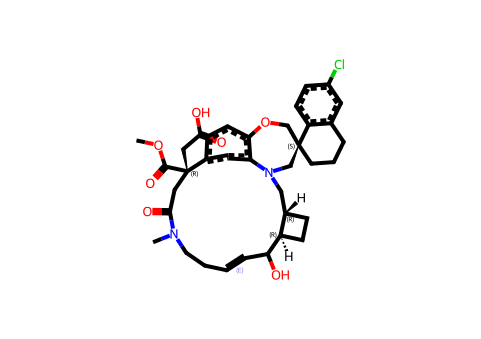 COC(=O)[C@@]1(CC(=O)O)CC(=O)N(C)CC/C=C/C(O)[C@@H]2CC[C@H]2CN2C[C@@]3(CCCc4cc(Cl)ccc43)COc3ccc1cc32